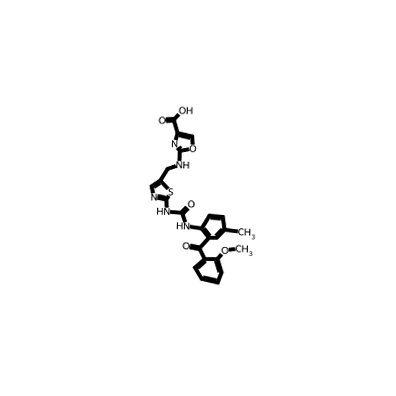 COc1ccccc1C(=O)c1cc(C)ccc1NC(=O)Nc1ncc(CNc2nc(C(=O)O)co2)s1